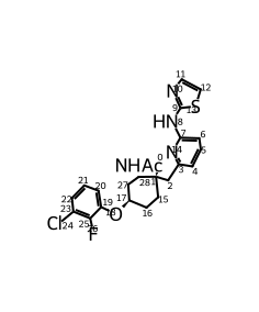 CC(=O)N[C@]1(Cc2cccc(Nc3nccs3)n2)CC[C@@H](Oc2cccc(Cl)c2F)CC1